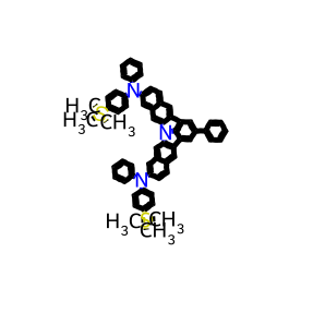 CS(C)(C)c1ccc(N(c2ccccc2)c2ccc3cc4c5cc(-c6ccccc6)cc6c7cc8ccc(N(c9ccccc9)c9ccc(S(C)(C)C)cc9)cc8cc7n(c4cc3c2)c56)cc1